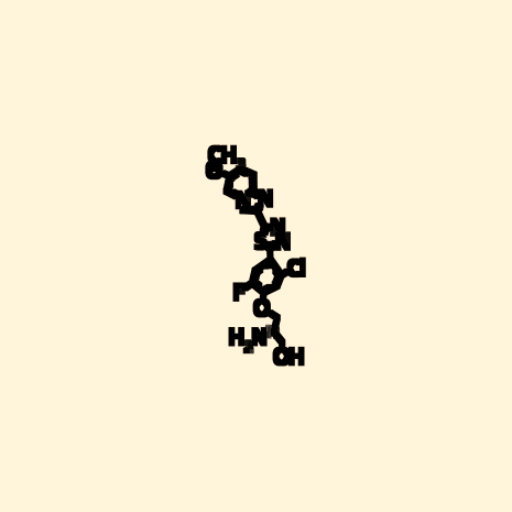 COc1ccc2nc(-c3nnc(-c4cc(F)c(OC[C@@H](N)CO)cc4Cl)s3)cn2c1